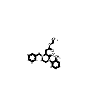 CCOC(=O)CC1C(=O)N(c2ccccc2C)CCN1Cc1ccccc1